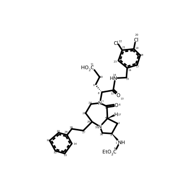 CCOC(=O)N[C@@H]1C[C@H]2C(=O)N([C@H](CCC(=O)O)C(=O)NCc3ccc(Cl)c(Cl)c3)CCC(CCc3ccccc3)N2C1